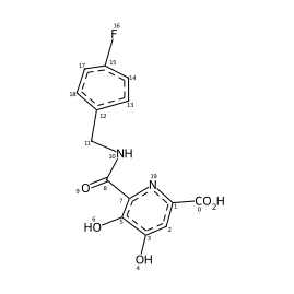 O=C(O)c1cc(O)c(O)c(C(=O)NCc2ccc(F)cc2)n1